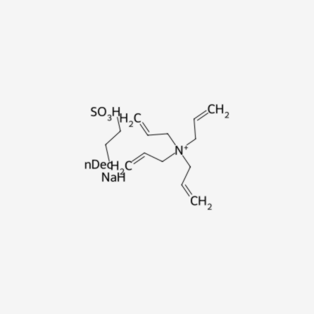 C=CC[N+](CC=C)(CC=C)CC=C.CCCCCCCCCCCCS(=O)(=O)O.[NaH]